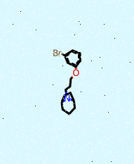 Brc1cccc(OCCCN2C3CCCC2CC3)c1